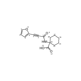 O=C(C#Cc1ccco1)NC1(C(=O)O)CCCCC1